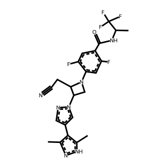 Cc1n[nH]c(C)c1-c1cnn(C2CN(c3cc(F)c(C(=O)NC(C)C(F)(F)F)cc3F)C2CC#N)c1